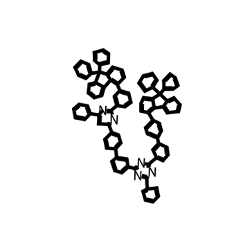 c1ccc(-c2cc(-c3ccc(-c4cccc(-c5nc(-c6ccccc6)nc(-c6cccc(-c7ccc(-c8cccc9c8-c8ccccc8C9(c8ccccc8)c8ccccc8)cc7)c6)n5)c4)cc3)nc(-c3cccc(-c4cccc5c4-c4ccccc4C5(c4ccccc4)c4ccccc4)c3)n2)cc1